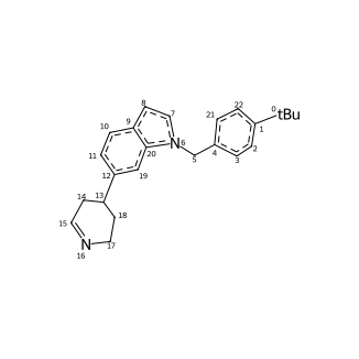 CC(C)(C)c1ccc(Cn2ccc3ccc(C4CC=NCC4)cc32)cc1